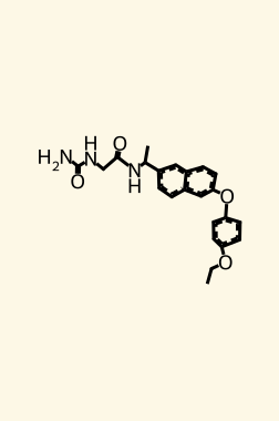 CCOc1ccc(Oc2ccc3cc(C(C)NC(=O)CNC(N)=O)ccc3c2)cc1